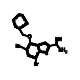 N=C(N)c1cc2c(OCc3ccccc3)c(Br)cc(Br)c2s1